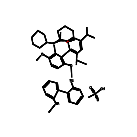 CNc1ccccc1-c1cccc[c]1[Pd].COc1ccc(OC)c(P(C2CCCCC2)C2CCCCC2)c1-c1c(C(C)C)cc(C(C)C)cc1C(C)C.CS(=O)(=O)O